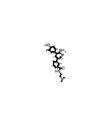 CN(C)CCNC(=O)c1cccc(-c2cnc(N)c(-c3ccc(O)c(F)c3)c2)c1